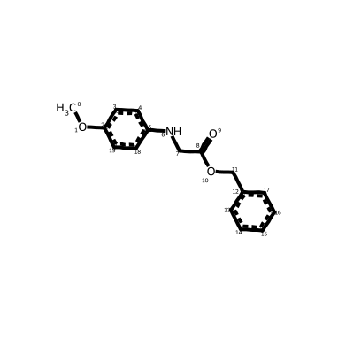 COc1ccc(NCC(=O)OCc2ccccc2)cc1